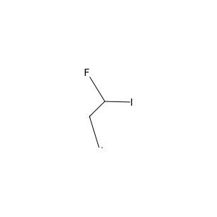 [CH2]CC(F)I